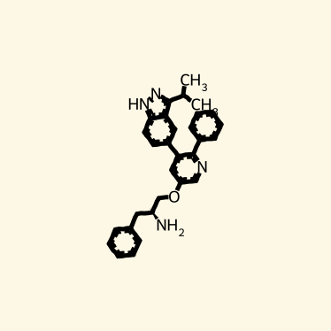 CC(C)c1n[nH]c2ccc(-c3cc(OC[C@@H](N)Cc4ccccc4)cnc3-c3ccccc3)cc12